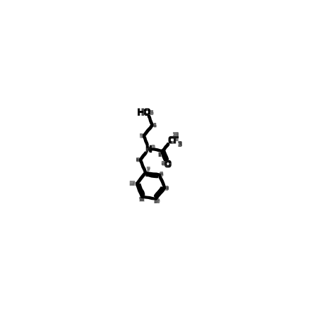 O=C(N(CCO)Cc1ccccc1)C(F)(F)F